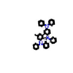 Cc1cc2c3c(c1)N(c1ccccc1)c1ccccc1B3N(c1ccccc1)c1ccc(N(c3ccccc3)c3ccccc3)cc1-2